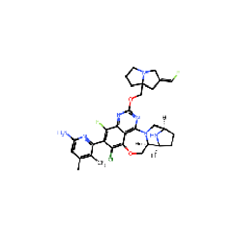 Cc1cc(N)nc(-c2c(Cl)c3c4c(nc(OCC56CCCN5C/C(=C\F)C6)nc4c2F)N2C[C@H]4CC[C@H](N4)[C@H]2CO3)c1C(F)(F)F